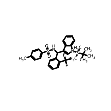 Cc1ccc(S(=O)(=O)NC(c2ccccc2C(F)(F)F)c2cn([Si](C)(C)C(C)(C)C)c3ccccc23)cc1